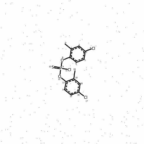 Cc1cc(Cl)ccc1OP(=S)(Cl)Oc1ccc(Cl)cc1C